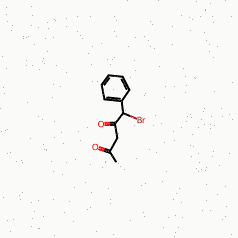 CC(=O)CC(=O)C(Br)c1ccccc1